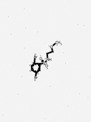 COCCNS(=O)(=O)c1cc(Br)ccc1Br